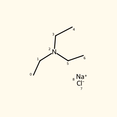 CCN(CC)CC.[Cl-].[Na+]